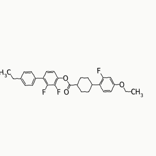 CCOc1ccc(C2CCC(C(=O)Oc3ccc(-c4ccc(CC)cc4)c(F)c3F)CC2)c(F)c1